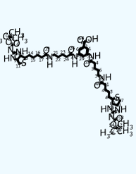 CC(C)(C)OC(=O)/N=C1/NC2CSC(CCCCC(=O)NCCCCC(=O)Nc3cc(NC(=O)CCCCNC(=O)CCCCC4SCC5N/C(=N\C(=O)OC(C)(C)C)NC54)cc(C(=O)O)c3)C2N1